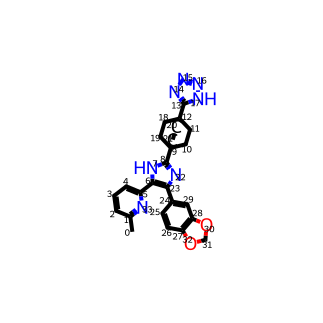 Cc1cccc(-c2[nH]c(C34CCC(c5nnn[nH]5)(CC3)CC4)nc2-c2ccc3c(c2)OCO3)n1